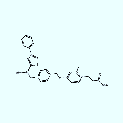 CCCN(Cc1ccc(COc2ccc(CCC(=O)OC)c(C)c2)cc1)c1nc(-c2ccccc2)cs1